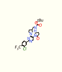 CC(C)(C)OC(=O)NCC1CCN(c2nc(-c3ccc(C(F)(F)F)c(Cl)c3)ncc2N2CCCC2=O)C1